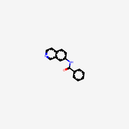 O=C(Nc1ccc2ccncc2c1)c1ccccc1